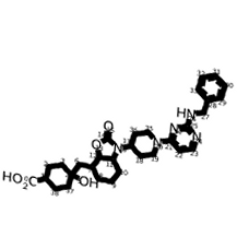 O=C(O)C1CCC(O)(CC2CCCC3C2OC(=O)N3C2CCN(c3ccnc(NCc4ccccc4)n3)CC2)CC1